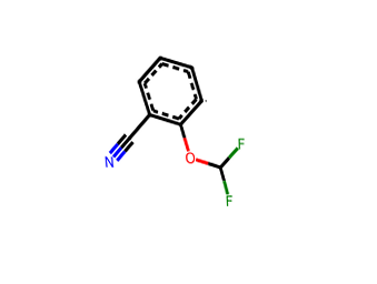 N#Cc1ccc[c]c1OC(F)F